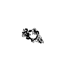 CCn1c(-c2cccnc2[C@H](C)OC)c2c3cc(ccc31)-c1csc(n1)C[C@H](NC(=O)N1[C@@H](C)CN(C)C[C@@H]1C)C(=O)N1CCC[C@H](N1)C(=O)OCC(C)(C)C2